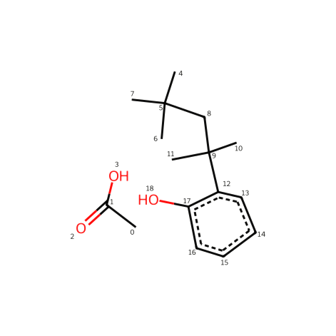 CC(=O)O.CC(C)(C)CC(C)(C)c1ccccc1O